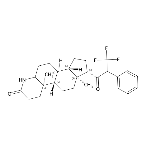 C[C@]12CC[C@H]3[C@@H](CCC4NC(=O)CC[C@@]43C)[C@@H]1CC[C@@H]2C(=O)C(c1ccccc1)C(F)(F)F